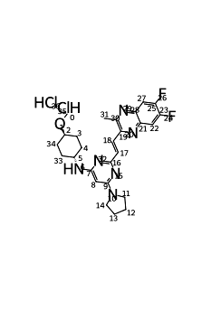 CO[C@H]1CC[C@H](Nc2cc(N3CCCC3)nc(/C=C/c3nc4cc(F)c(F)cc4nc3C)n2)CC1.Cl.Cl